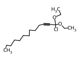 CCCCCCCCCCC#CC(Cl)(OCC)OCC